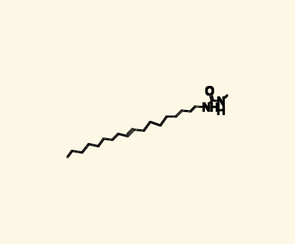 CCCCCCCCC=CCCCCCCCCNC(=O)NC